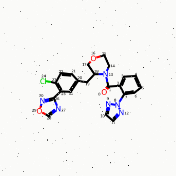 O=C(c1ccccc1-n1nccn1)N1CCOCC1Cc1ccc(Cl)c(-c2ncon2)c1